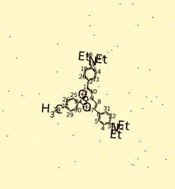 CCN(CC)c1ccc(C=CC(C=Cc2ccc(N(CC)CC)cc2)S(=O)(=O)c2ccc(C)cc2)cc1